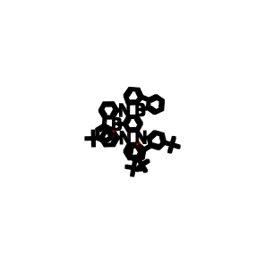 CC(C)(C)c1ccc(N(c2ccc(C(C)(C)C)cc2)c2c(-n3c4ccc(C(C)(C)C)cc4c4cc(C(C)(C)C)ccc43)cc3c4c2B2c5ccccc5-c5cccc(c52)N4c2cccc4c2B3c2ccccc2-4)cc1